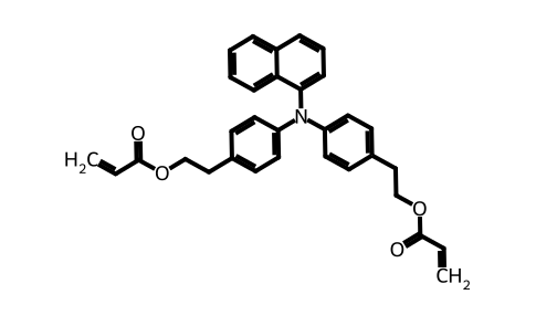 C=CC(=O)OCCc1ccc(N(c2ccc(CCOC(=O)C=C)cc2)c2cccc3ccccc23)cc1